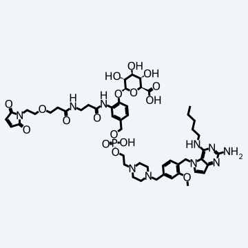 CCCCCNc1nc(N)nc2ccn(Cc3ccc(CN4CCN(CCOP(=O)(O)OCc5ccc(O[C@@H]6O[C@H](C(=O)O)[C@@H](O)[C@H](O)[C@H]6O)c(NC(=O)CCNC(=O)CCOCCN6C(=O)C=CC6=O)c5)CC4)cc3OC)c12